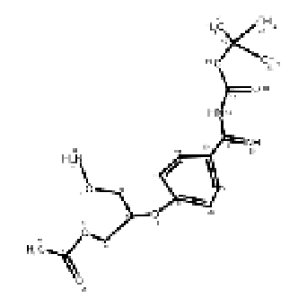 CC(=O)OCC(CON)Oc1ccc(C(=N)NC(=O)OC(C)(C)C)cc1